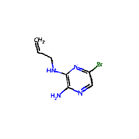 C=CCNc1nc(Br)cnc1N